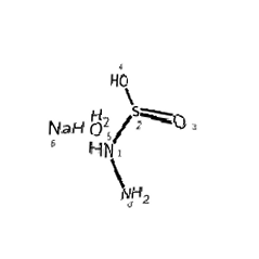 NNS(=O)O.O.[NaH]